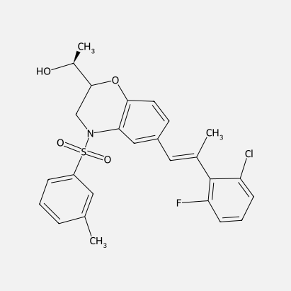 C/C(=C\c1ccc2c(c1)N(S(=O)(=O)c1cccc(C)c1)CC([C@H](C)O)O2)c1c(F)cccc1Cl